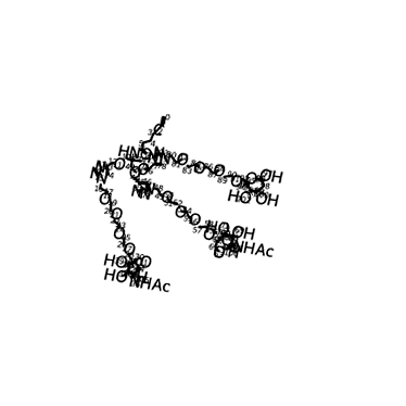 C#CCCCCC(=O)NC(COCc1cn(CCOCCOCCOCCOC[C@@]23CO[C@@H](O2)[C@H](NC(C)=O)[C@@H](O)[C@H]3O)nn1)(COCc1cn(CCOCCOCCOCCOC[C@@]23CO[C@@H](O2)[C@H](NC(C)=O)[C@@H](O)[C@H]3O)nn1)COCc1cn(CCOCCOCCOCCOC[C@@]2(C)O[C@H](O)C[C@@H](O)[C@H]2O)nn1